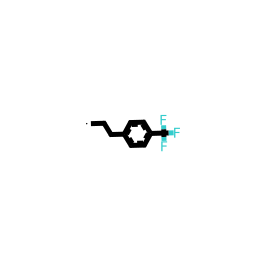 [CH2]CCc1ccc(C(F)(F)F)cc1